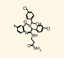 CC(c1ccc(Cl)cc1)N1C(=O)c2cc(I)ccc2N=C(NCCC(N)=O)[C@@H]1c1ccc(Cl)cc1